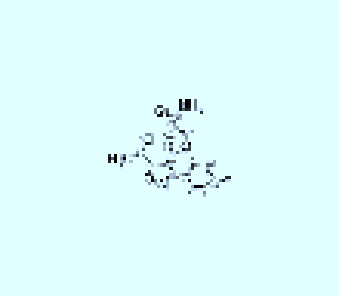 CC(C)c1onc(-c2ccc(F)cc2)c1-c1nc(C(N)=O)co1